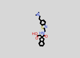 CN(C)CCc1ccc2nc(CNC(=O)C3(CC(=O)O)Cc4ccccc4C3)sc2c1